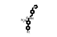 CCc1ccc(-c2ccc(C(=O)NCCc3ccc(CN4CCCC4)cc3)c(N)c2)cc1